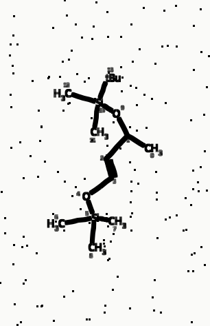 CC(C=CO[Si](C)(C)C)O[Si](C)(C)C(C)(C)C